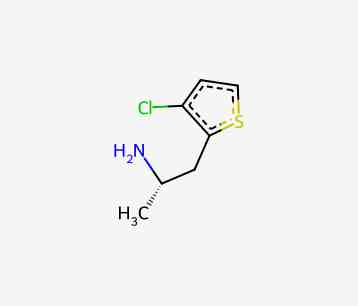 C[C@H](N)Cc1sccc1Cl